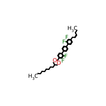 CCC/C=C\Cc1ccc(-c2ccc(-c3ccc(C4OCC(CCCCCCCCC)CO4)c(F)c3F)cc2)c(F)c1F